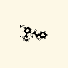 N#Cc1ccc(NC(=O)c2noc3ccccc23)c(-c2nnn[nH]2)c1